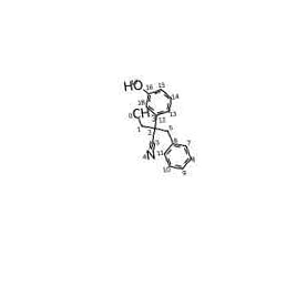 CCC(C#N)(Cc1ccccc1)c1cccc(O)c1